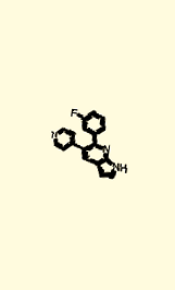 Fc1cccc(-c2nc3[nH]ccc3cc2-c2ccncc2)c1